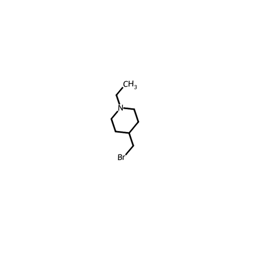 CCN1CCC(CBr)CC1